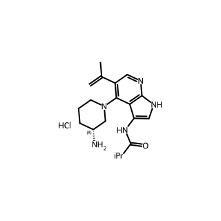 C=C(C)c1cnc2[nH]cc(NC(=O)C(C)C)c2c1N1CCC[C@@H](N)C1.Cl